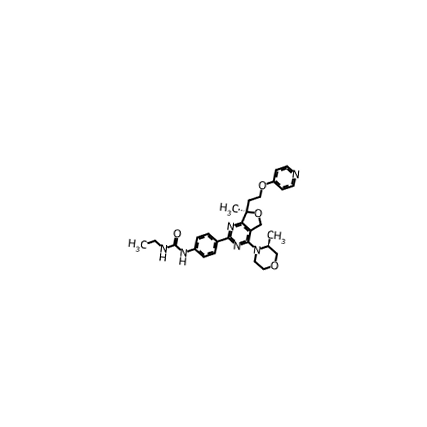 CCNC(=O)Nc1ccc(-c2nc(N3CCOC[C@@H]3C)c3c(n2)[C@@](C)(CCOc2ccncc2)OC3)cc1